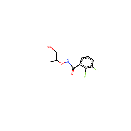 CC(CO)ONC(=O)c1cccc(F)c1F